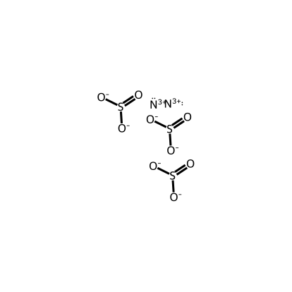 O=S([O-])[O-].O=S([O-])[O-].O=S([O-])[O-].[N+3].[N+3]